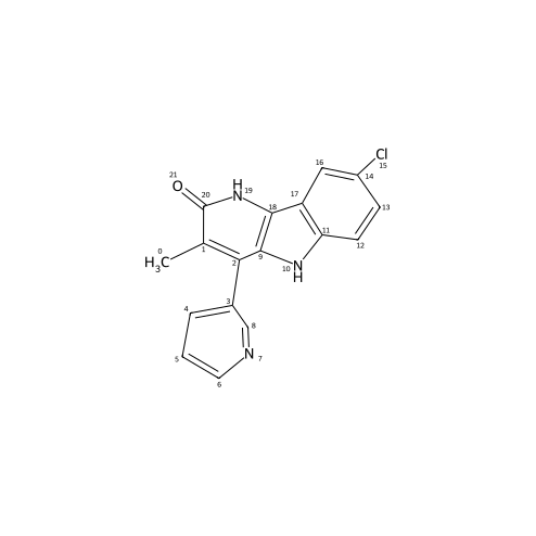 Cc1c(-c2cccnc2)c2[nH]c3ccc(Cl)cc3c2[nH]c1=O